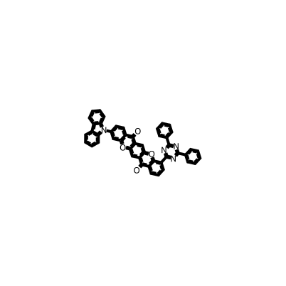 O=c1c2ccc(-n3c4ccccc4c4ccccc43)cc2oc2cc3c(=O)c4cccc(-c5nc(-c6ccccc6)nc(-c6ccccc6)n5)c4oc3cc12